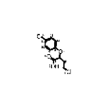 O=C(O)C(CCCl)Oc1ccc(Cl)cc1